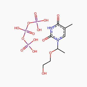 Cc1cn(C(C)OCCO)c(=O)[nH]c1=O.O=P(O)(O)OP(=O)(O)OP(=O)(O)O